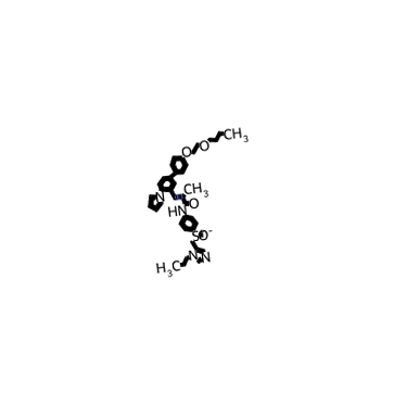 CCCCOCCOc1ccc(-c2ccc(-n3cccc3)c(/C=C(\C)C(=O)Nc3ccc([S+]([O-])Cc4cncn4CCC)cc3)c2)cc1